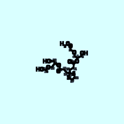 COCOCC(CO)OC(=O)CCC1(CCC(=O)OC(CO)COCO)SCCS1